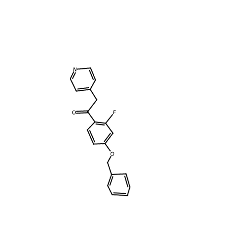 O=C(Cc1ccncc1)c1ccc(OCc2ccccc2)cc1F